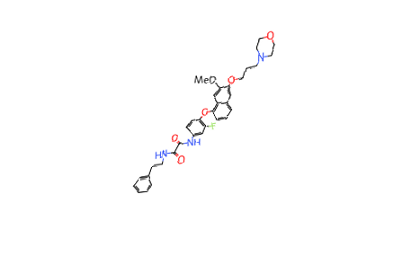 COc1cc2c(Oc3ccc(NC(=O)C(=O)NCCc4ccccc4)cc3F)cccc2cc1OCCCN1CCOCC1